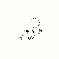 O=C(CCl)Nc1c(Br)cnc2c1CCCCC2